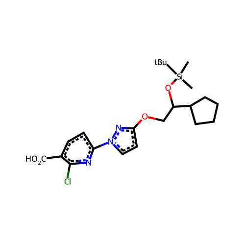 CC(C)(C)[Si](C)(C)OC(COc1ccn(-c2ccc(C(=O)O)c(Cl)n2)n1)C1CCCC1